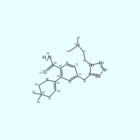 CN(C)CCn1nnnc1Cc1ccc(C(N)=O)c(C2=CCC(C)(C)CC2)c1